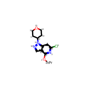 CCCOc1nc(Cl)cc2c1cnn2C1CCOCC1